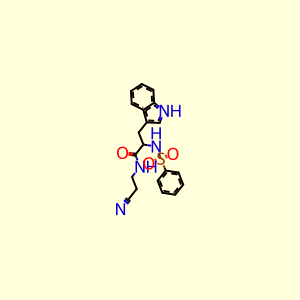 N#CCCNC(=O)C(Cc1c[nH]c2ccccc12)NS(=O)(=O)c1ccccc1